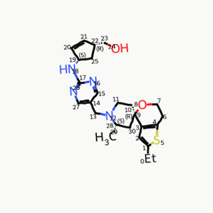 CCc1cc2c(s1)CCO[C@@]21CCN(Cc2cnc(N[C@@H]3C=C[C@H](CO)C3)nc2)[C@@H](C)C1